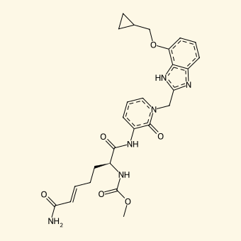 COC(=O)N[C@@H](CC/C=C/C(N)=O)C(=O)Nc1cccn(Cc2nc3cccc(OCC4CC4)c3[nH]2)c1=O